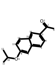 CC(=O)c1ccc2cc(OC(C)C)ccc2c1